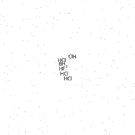 B.Cl.Cl.Cl.Cl.F